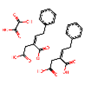 O=C(O)C(=O)O.O=C(O)CC(=CCc1ccccc1)C(=O)O.O=C(O)CC(=CCc1ccccc1)C(=O)O